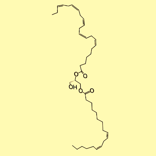 CC/C=C\C/C=C\C/C=C\C/C=C\C/C=C\CCCCCC(=O)O[C@@H](CO)COC(=O)CCCCCCC/C=C\C/C=C\CCCCC